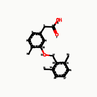 Cc1ccc(CC(=O)O)cc1OCc1c(C)cccc1C